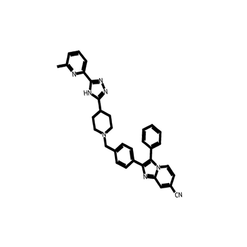 Cc1cccc(-c2nnc(C3CCN(Cc4ccc(-c5nc6cc(C#N)ccn6c5-c5ccccc5)cc4)CC3)[nH]2)n1